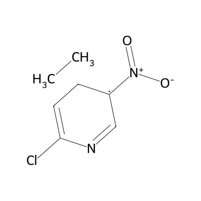 CC.O=[N+]([O-])[C]1C=NC(Cl)=CC1